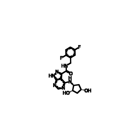 O=C(NCc1cc(F)ccc1F)c1n[nH]c2ncnc(N[C@H]3C[C@H](O)C[C@@H]3O)c12